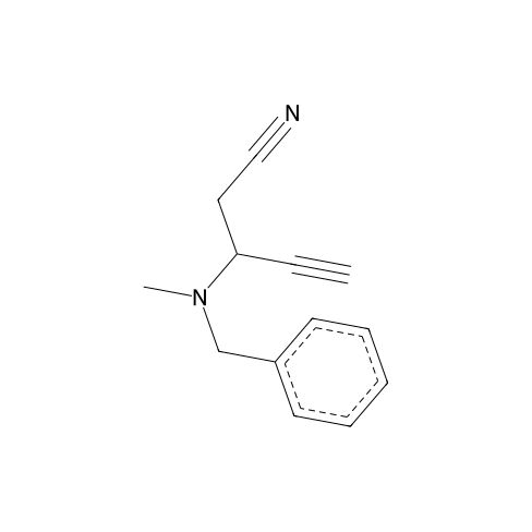 C#CC(CC#N)N(C)Cc1ccccc1